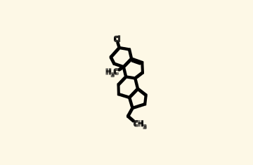 CCC1CCC2C1CCC1C2CC=C2CC(Cl)CCC21C